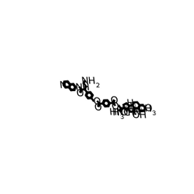 C[C@]12C=CC(=O)C=C1CC[C@@H]1[C@@H]2[C@@H](O)C[C@@]2(C)[C@H]1CC[C@]2(O)C(=N)COC(=O)c1ccc(C(=O)OCc2ccc(C(CCN)C(=O)Nc3ccc4cnccc4c3)cc2)cc1